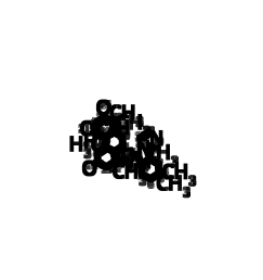 CC1CC(C)(C)CC[C@@]1(CC[C@]1(C)CC(=O)C=C2[C@@]3(C)[C@H]4O[C@@]4(C#N)C(=O)C(C)(C)[C@@H]3CC[C@]21C)C(=O)n1ccnc1